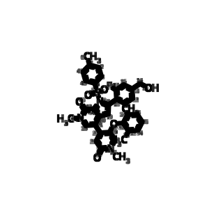 Cc1ccc(S(=O)(=O)n2c(-c3ccc(CO)cc3F)cc3c(-c4cc(=O)n(C)cc4Oc4c(C)cccc4C)cn(C)c(=O)c32)cc1